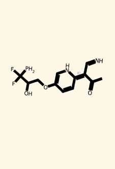 CC(=O)/C(C=N)=C1\C=CC(OCC(O)C(F)(F)P)=CN1